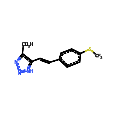 O=C(O)c1nn[nH]c1C=Cc1ccc(SC(F)(F)F)cc1